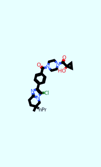 CCCC1(C)CCc2nc(-c3ccc(C(=O)N4CCN(C(=O)C5(O)CC5)CC4)cc3)c(Cl)n2C1